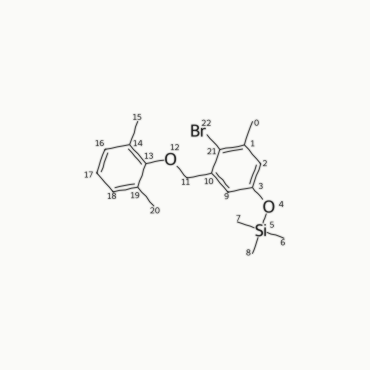 Cc1cc(O[Si](C)(C)C)cc(COc2c(C)cccc2C)c1Br